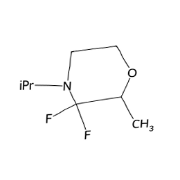 CC(C)N1CCOC(C)C1(F)F